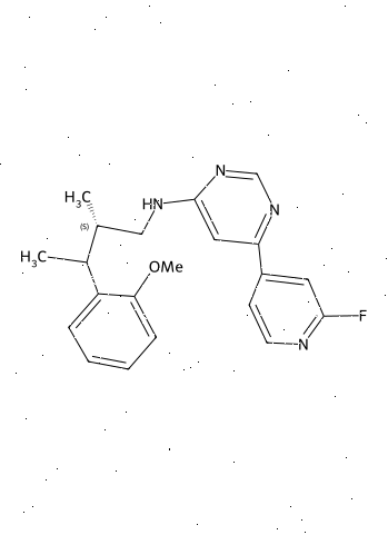 COc1ccccc1C(C)[C@H](C)CNc1cc(-c2ccnc(F)c2)ncn1